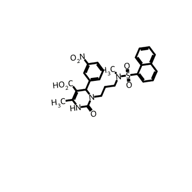 CC1=C(C(=O)O)C(c2cccc([N+](=O)[O-])c2)N(CCCN(C)S(=O)(=O)c2cccc3ccccc23)C(=O)N1